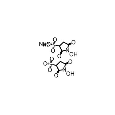 O=C1CC(S(=O)(=O)[O-])C(=O)N1O.O=C1CC(S(=O)(=O)[O-])C(=O)N1O.[Na+].[Na+]